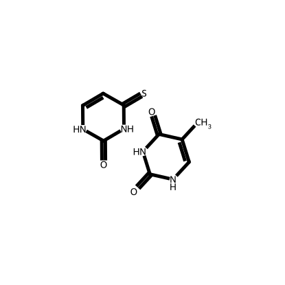 Cc1c[nH]c(=O)[nH]c1=O.O=c1[nH]ccc(=S)[nH]1